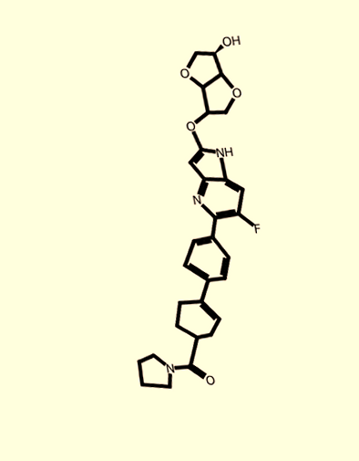 O=C(C1CC=C(c2ccc(-c3nc4cc(OC5COC6C5OC[C@H]6O)[nH]c4cc3F)cc2)CC1)N1CCCC1